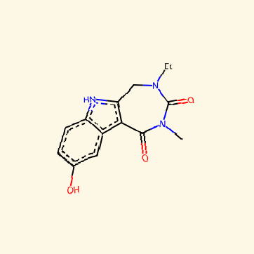 CCN1Cc2[nH]c3ccc(O)cc3c2C(=O)N(C)C1=O